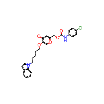 O=C(Nc1ccc(Cl)cc1)OCc1cc(=O)c(OCCCCCn2ccc3ccccc32)co1